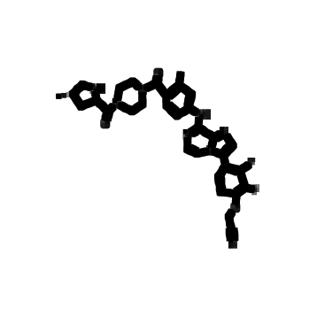 Cc1cc(Nc2nccn3c(-c4ccc(OCC#N)c(F)c4F)cnc23)ccc1C(=O)N1CCN(C(=O)C2C[C@H](C)CN2)CC1